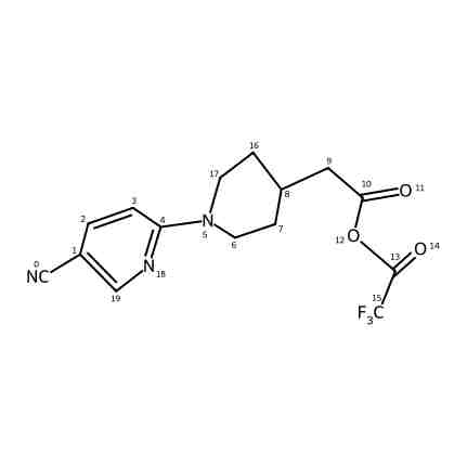 N#Cc1ccc(N2CCC(CC(=O)OC(=O)C(F)(F)F)CC2)nc1